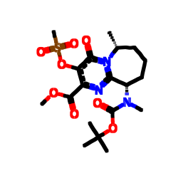 COC(=O)c1nc2n(c(=O)c1OS(C)(=O)=O)[C@H](C)CCC[C@@H]2N(C)C(=O)OC(C)(C)C